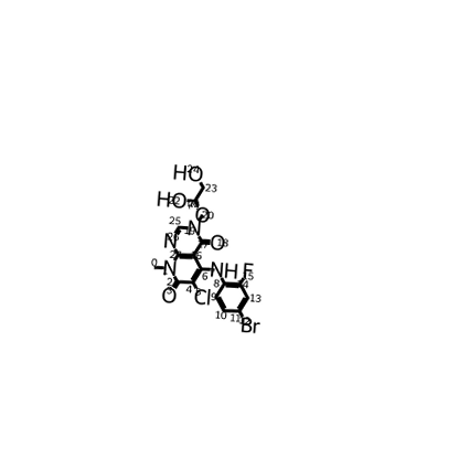 Cn1c(=O)c(Cl)c(Nc2ccc(Br)cc2F)c2c(=O)n(O[C@@H](O)CO)cnc21